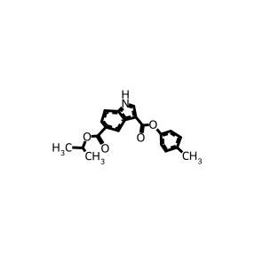 Cc1ccc(OC(=O)c2c[nH]c3ccc(C(=O)OC(C)C)cc23)cc1